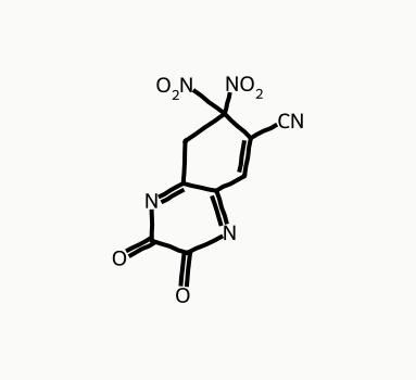 N#CC1=CC2=NC(=O)C(=O)N=C2CC1([N+](=O)[O-])[N+](=O)[O-]